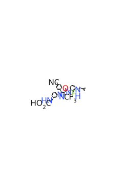 CN(C(=O)c1c(C(F)(F)F)nn(-c2cccc(CNC(=O)O)c2)c1-c1ccc(C#N)cc1)c1cccc(NCC2CC2)c1F